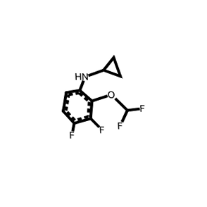 Fc1ccc(NC2CC2)c(OC(F)F)c1F